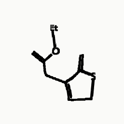 C=C(CC1=CCSC1=C)OCC